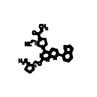 C=CC(=O)N1CCN(c2nc(OC[C@@H]3CCCN3C)nc3nc(-c4cccc5ccsc45)ccc23)C[C@@H]1CC#N